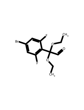 CCOC(C=O)(OCC)c1c(F)cc(Br)cc1F